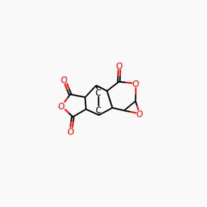 O=C1OC(=O)C2C3CCC(C12)C1C(=O)OC2OC2C31